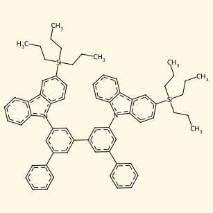 CCC[Si](CCC)(CCC)c1ccc2c(c1)c1ccccc1n2-c1cc(-c2ccccc2)cc(-c2cc(-c3ccccc3)cc(-n3c4ccccc4c4cc([Si](CCC)(CCC)CCC)ccc43)c2)c1